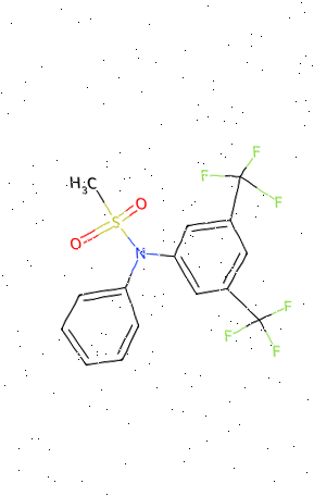 CS(=O)(=O)N(c1ccccc1)c1cc(C(F)(F)F)cc(C(F)(F)F)c1